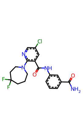 NC(=O)c1cccc(NC(=O)c2cc(Cl)cnc2N2CCCC(F)(F)CC2)c1